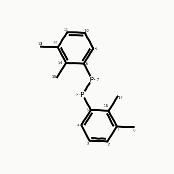 Cc1cccc([P][P]c2cccc(C)c2C)c1C